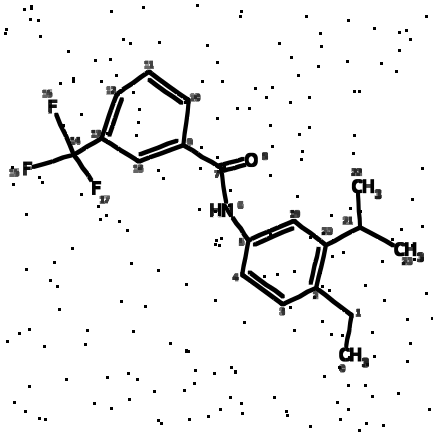 CCc1ccc(NC(=O)c2cccc(C(F)(F)F)c2)cc1C(C)C